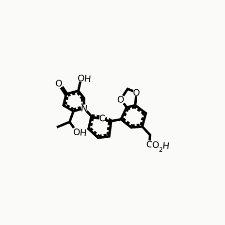 CC(O)c1cc(=O)c(O)cn1-c1cccc(-c2cc(CC(=O)O)cc3c2OCO3)c1